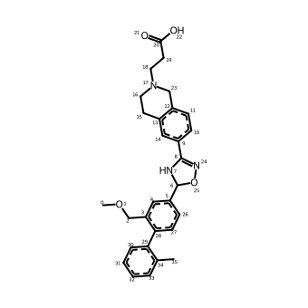 COCc1cc(C2NC(c3ccc4c(c3)CCN(CCC(=O)O)C4)=NO2)ccc1-c1ccccc1C